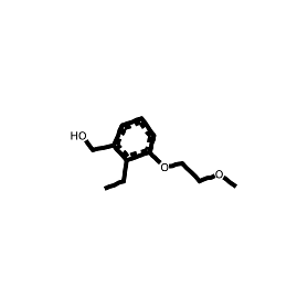 CCc1c(CO)cccc1OCCOC